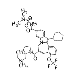 CCN(C)CC1CCCN1C(=O)C1=Cc2c(OC(F)(F)F)cccc2-c2c(C3CCCCC3)c3ccc(C(=O)NS(=O)(=O)N(C)C)cc3n2C1